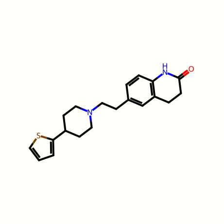 O=C1CCc2cc(CCN3CCC(c4cccs4)CC3)ccc2N1